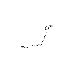 O=C(O)CCCCCCC/C=C\CCCCCCCCc1cccc(O)c1